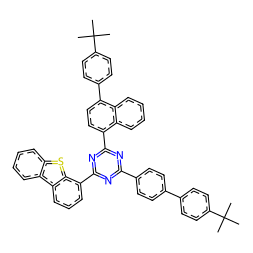 CC(C)(C)c1ccc(-c2ccc(-c3nc(-c4ccc(-c5ccc(C(C)(C)C)cc5)c5ccccc45)nc(-c4cccc5c4sc4ccccc45)n3)cc2)cc1